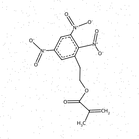 C=C(C)C(=O)OCCc1cc([N+](=O)[O-])cc([N+](=O)[O-])c1[N+](=O)[O-]